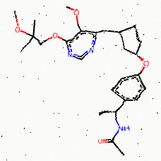 COc1c(CC2CC[C@@H](Oc3ccc([C@H](C)NC(C)=O)cc3)C2)ncnc1OCC(C)(C)OC